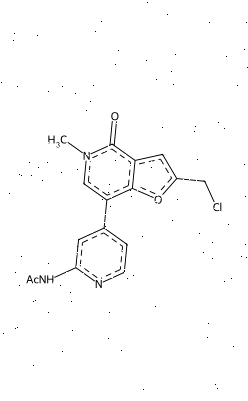 CC(=O)Nc1cc(-c2cn(C)c(=O)c3cc(CCl)oc23)ccn1